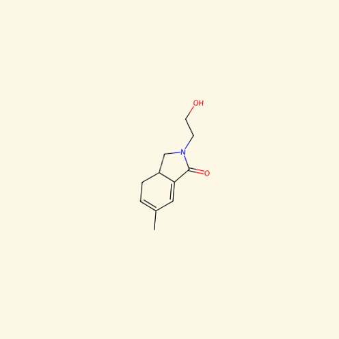 CC1=CCC2CN(CCO)C(=O)C2=C1